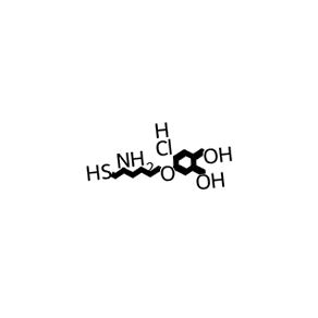 Cl.N[C@H](CS)CCCCOc1ccc(=CO)c(=CO)c1